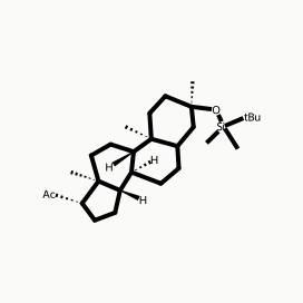 CC(=O)[C@H]1CC[C@H]2[C@@H]3CCC4C[C@](C)(O[Si](C)(C)C(C)(C)C)CC[C@]4(C)[C@H]3CC[C@]12C